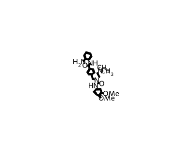 COc1ccc(NC(=O)N(CCN(C)C)Cc2ccc(C(=O)Nc3ccccc3N)cc2)cc1OC